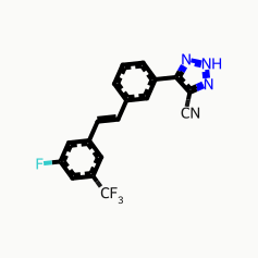 N#Cc1n[nH]nc1-c1cccc(C=Cc2cc(F)cc(C(F)(F)F)c2)c1